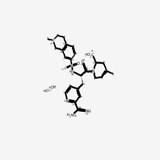 CC1=CCN(C(=O)[C@H](Cc2ccnc(C(=N)N)c2)NS(=O)(=O)c2ccc3c(c2)CN(C)CC3)C(C(=O)O)C1.Cl.Cl